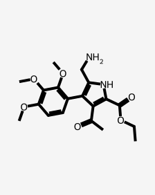 CCOC(=O)c1[nH]c(CN)c(-c2ccc(OC)c(OC)c2OC)c1C(C)=O